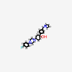 O[C@]1(c2ccc(CN3CCCC3)cc2)CC[C@@H](N2CCN(c3ccc(F)cc3)CC2)CC1